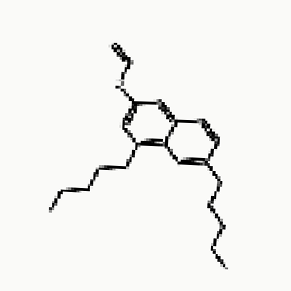 C=COc1cc(CCCCC)c2cc(CCCCC)ccc2c1